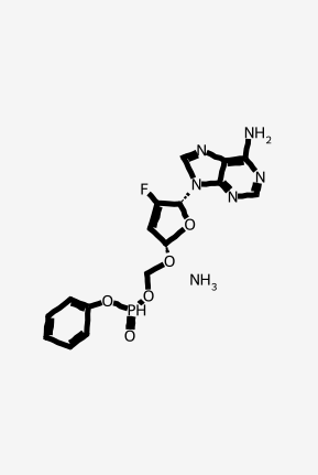 N.Nc1ncnc2c1ncn2[C@@H]1O[C@H](OCO[PH](=O)Oc2ccccc2)C=C1F